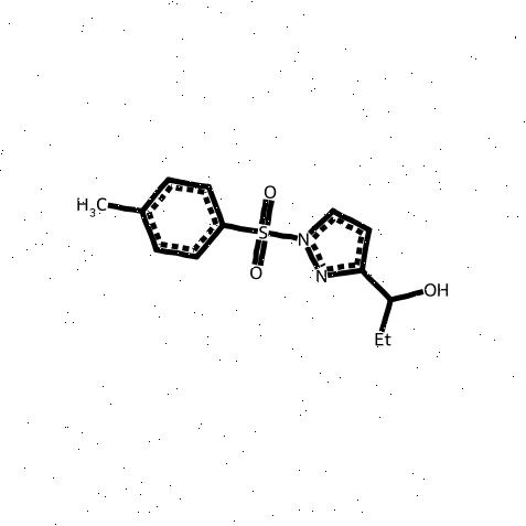 CCC(O)c1ccn(S(=O)(=O)c2ccc(C)cc2)n1